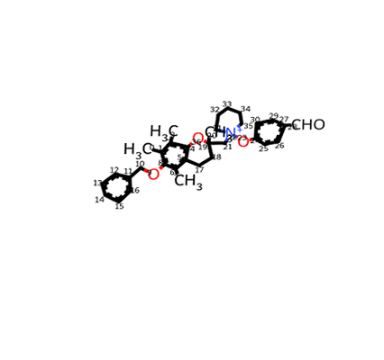 Cc1c(C)c2c(c(C)c1OCc1ccccc1)CCC(C)(C[N+]1(Oc3ccc(C=O)cc3)CCCCC1)O2